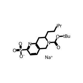 CC(C)CCC1Cc2nc(S(=O)(=O)[O-])ccc2CN1C(=O)OC(C)(C)C.[Na+]